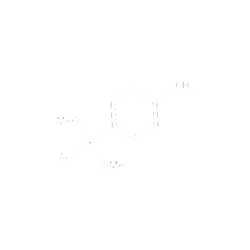 COC(OC)(C(C)=O)c1ccc(C)cc1